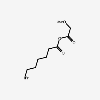 COCC(=O)OC(=O)CCCCCC(C)C